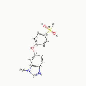 CCn1cnc2ccc(Oc3ccc(S(C)(=O)=O)cc3)cc21